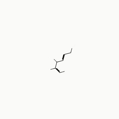 CCOC(=O)/C=C(/C(=O)OCC)C(C=CCOC(C)=O)OC(C)=O